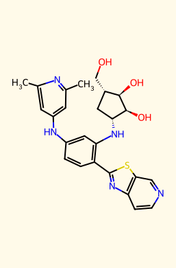 Cc1cc(Nc2ccc(-c3nc4ccncc4s3)c(N[C@@H]3C[C@H](CO)[C@@H](O)[C@H]3O)c2)cc(C)n1